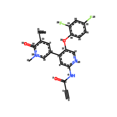 C#CC(=O)Nc1cc(-c2cc(NC)c(=O)n(C)c2)c(Oc2ccc(F)cc2F)cn1